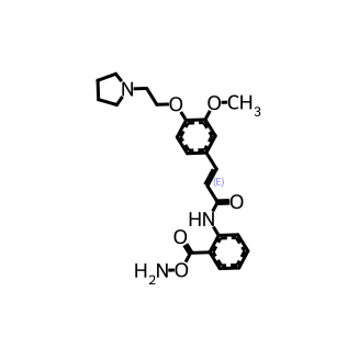 COc1cc(/C=C/C(=O)Nc2ccccc2C(=O)ON)ccc1OCCN1CCCC1